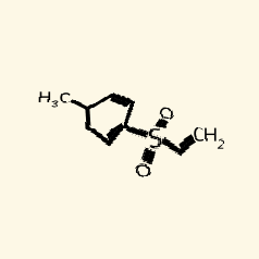 C=CS(=O)(=O)C1=CCC(C)C=C1